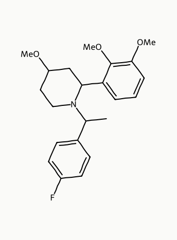 COc1cccc(C2CC(OC)CCN2C(C)c2ccc(F)cc2)c1OC